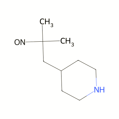 CC(C)(CC1CCNCC1)N=O